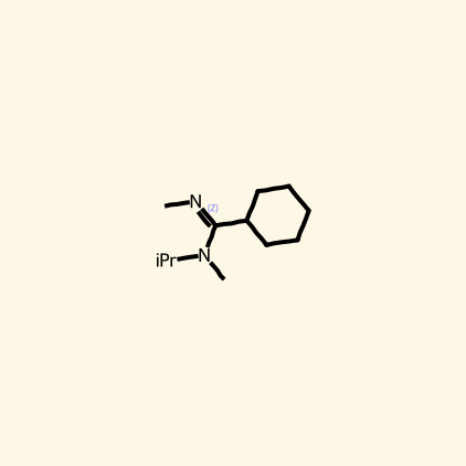 C/N=C(/C1CCCCC1)N(C)C(C)C